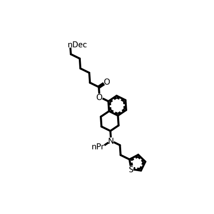 CCCCCCCCCCCCCCCC(=O)Oc1cccc2c1CCC(N(CCC)CCc1cccs1)C2